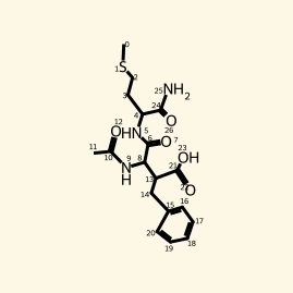 CSCCC(NC(=O)C(NC(C)=O)C(Cc1ccccc1)C(=O)O)C(N)=O